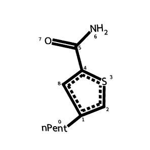 CCCCCc1csc(C(N)=O)c1